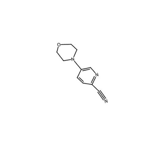 N#Cc1ccc(N2CCOCC2)cn1